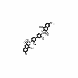 COc1cc(-c2ccc(/N=N/c3c(S(=O)(=O)O)cc4ccc(N)cc4c3O)c(OC)c2)ccc1/N=N/c1c(S(=O)(=O)O)cc2cc(N)ccc2c1O